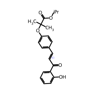 CC(C)OC(=O)C(C)(C)Oc1ccc(/C=C/C(=O)c2ccccc2O)cc1